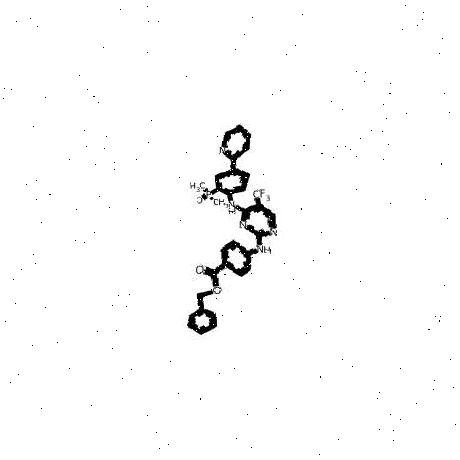 CP(C)(=O)c1cc(-c2ccccn2)ccc1Nc1nc(Nc2ccc(C(=O)OCc3ccccc3)cc2)ncc1C(F)(F)F